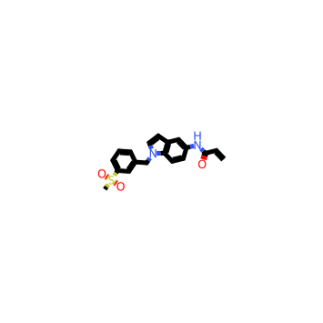 C=CC(=O)Nc1ccc2c(ccn2Cc2cccc(S(C)(=O)=O)c2)c1